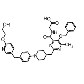 Cc1nc(CC2CCN(c3ccc(Cc4ccc(OCCO)nc4)cc3)CC2)nc(C(=O)NCC(=O)O)c1OCc1ccccc1